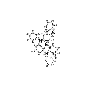 Cc1cc2c3c(c1)N1c4c(cccc4C4(C)CCCCC14C)B3c1cc3oc4ccccc4c3cc1N2c1ccccc1